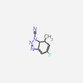 CC1C=C(F)C=C2N=NN(C#N)C21